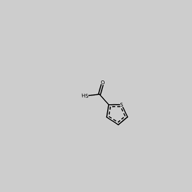 O=C(S)c1cccs1